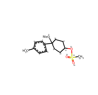 COC1(c2ccc(C)cc2)CCC(OS(C)(=O)=O)CC1